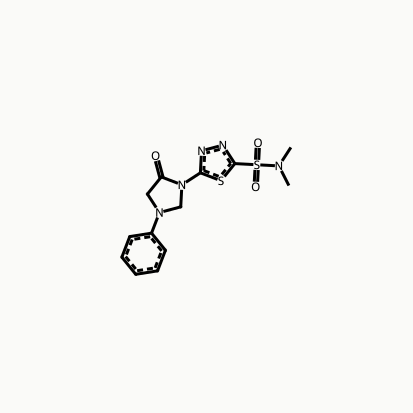 CN(C)S(=O)(=O)c1nnc(N2CN(c3ccccc3)CC2=O)s1